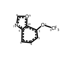 FC(F)(F)Oc1cccc2ncoc12